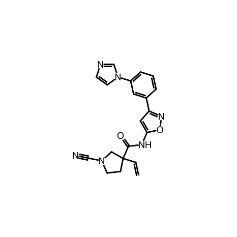 C=CC1(C(=O)Nc2cc(-c3cccc(-n4ccnc4)c3)no2)CCN(C#N)C1